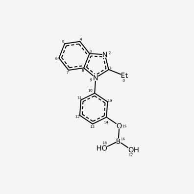 CCc1nc2ccccc2n1-c1cccc(OB(O)O)c1